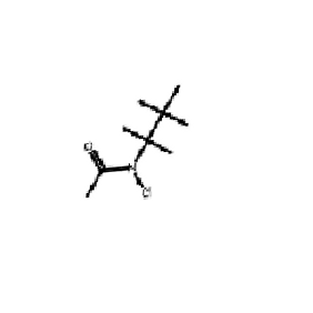 CC(=O)N(Cl)C(C)(C)C(C)(C)C